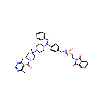 Cc1ncnc(C)c1C(=O)N1CCC(C)(N2CCC(N(Cc3ccccc3)c3ccc(CNS(=O)(=O)CCN4C(=O)c5ccccc5C4=O)cc3)CC2)CC1